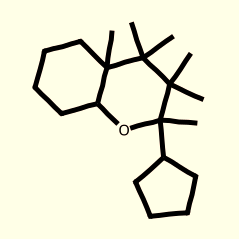 CC12CCCCC1OC(C)(C1CCCC1)C(C)(C)C2(C)C